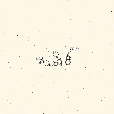 CCOC(=O)CCn1cc2c(-c3nc(N4CCOCC4)c4sc(CN5CCN(S(C)(=O)=O)CC5)cc4n3)cccc2n1